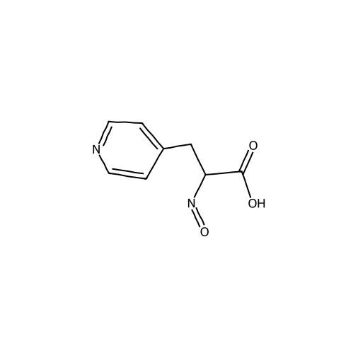 O=NC(Cc1ccncc1)C(=O)O